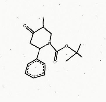 CC1CN(C(=O)OC(C)(C)C)C(c2ccccc2)CC1=O